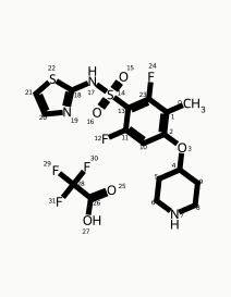 Cc1c(OC2CCNCC2)cc(F)c(S(=O)(=O)Nc2nccs2)c1F.O=C(O)C(F)(F)F